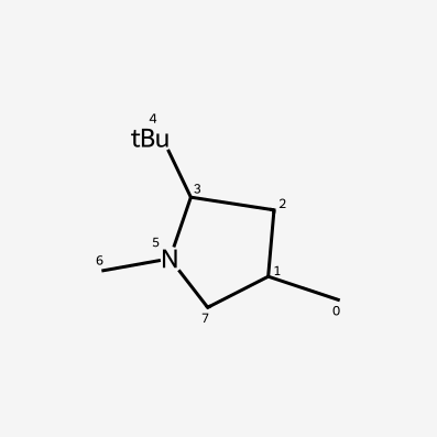 CC1CC(C(C)(C)C)N(C)C1